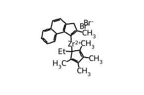 CC[C]1([Zr+2][C]2=C(C)Cc3ccc4ccccc4c32)C(C)=C(C)C(C)=C1C.[Br-].[Br-]